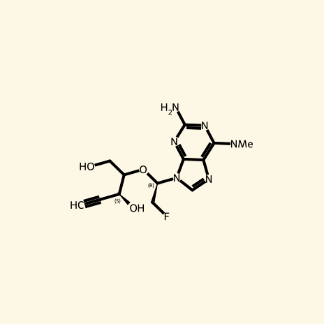 C#C[C@H](O)C(CO)O[C@H](CF)n1cnc2c(NC)nc(N)nc21